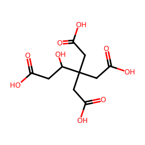 O=C(O)CC(O)C(CC(=O)O)(CC(=O)O)CC(=O)O